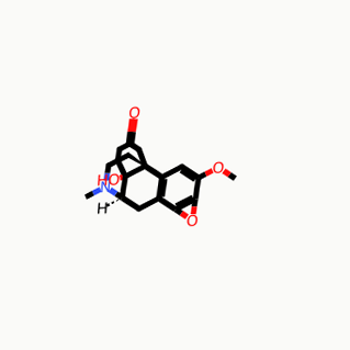 COc1cc2c(c3c1O3)C[C@H]1N(C)CC[C@@]23CC(=O)CCC13O